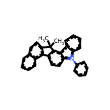 CC1(C)c2ccc3ccccc3c2-c2ccc3c(c21)c1ccccc1n3-c1ccccc1